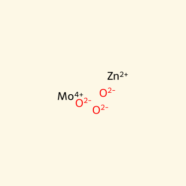 [Mo+4].[O-2].[O-2].[O-2].[Zn+2]